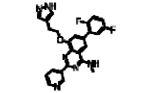 CNc1nc(-c2cccnc2)nc2c(OCCc3cn[nH]c3)cc(-c3cc(F)ccc3F)cc12